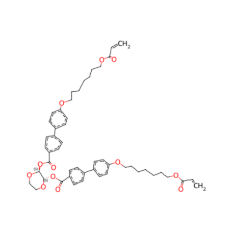 C=CC(=O)OCCCCCCCOc1ccc(-c2ccc(C(=O)O[C@@H]3OCCO[C@H]3OC(=O)c3ccc(-c4ccc(OCCCCCCCOC(=O)C=C)cc4)cc3)cc2)cc1